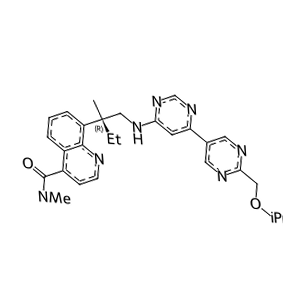 CC[C@@](C)(CNc1cc(-c2cnc(COC(C)C)nc2)ncn1)c1cccc2c(C(=O)NC)ccnc12